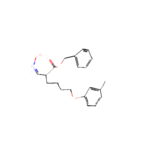 Cc1cccc(OCCCCC(/C=N\O)C(=O)OCc2ccccc2)c1